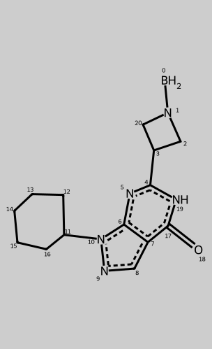 BN1CC(c2nc3c(cnn3C3CCCCC3)c(=O)[nH]2)C1